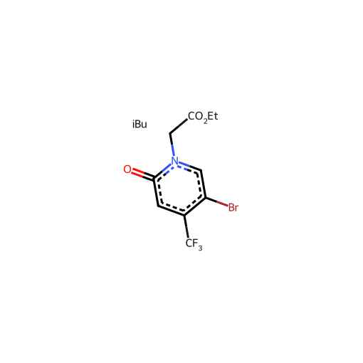 CCOC(=O)C([C@H](C)CC)n1cc(Br)c(C(F)(F)F)cc1=O